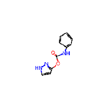 O=C(Nc1ccccc1)Oc1cc[nH]n1